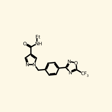 CCNC(=O)c1cnn(Cc2ccc(-c3noc(C(F)(F)F)n3)cc2)c1